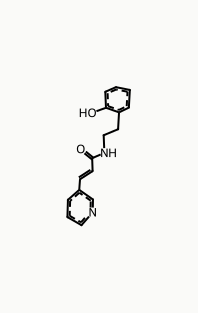 O=C(/C=C/c1cccnc1)NCCc1ccccc1O